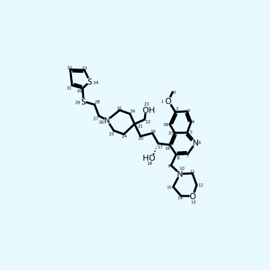 COc1ccc2ncc(CN3CCOCC3)c([C@H](O)CCC3(CO)CCN(CCSc4cccs4)CC3)c2c1